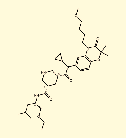 CCOC[C@@H](CC(C)C)NC(=O)[C@@H]1CNC[C@H](C(=O)N(c2ccc3c(c2)N(CCCCOC)C(=O)C(C)(C)O3)C2CC2)C1